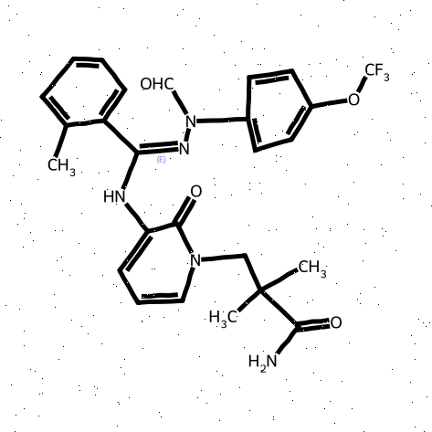 Cc1ccccc1/C(=N\N(C=O)c1ccc(OC(F)(F)F)cc1)Nc1cccn(CC(C)(C)C(N)=O)c1=O